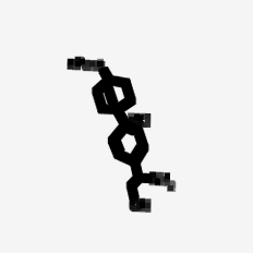 CCCCCC12CCC(c3ccc(C(N)CO)cc3)(CC1)CC2.Cl